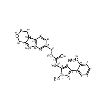 CCn1nc(-c2ccccc2OC)cc1NC(=O)OCc1ccc2c(c1)nc1n2CCOC1